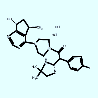 C[C@@H]1C[C@@H](O)c2ncnc(N3CCN(C(=O)[C@@H](c4ccc(F)cc4)[C@@H]4CCC(C)(C)N4)CC3)c21.Cl.Cl